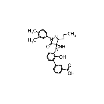 CCCC1=NN(c2ccc(C)c(C)c2)C(=O)C12NN2c1cccc(-c2cccc(C(=O)O)c2)c1O